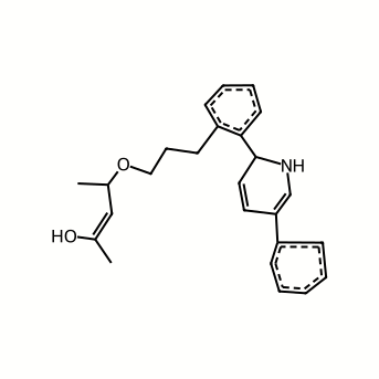 C/C(O)=C/C(C)OCCCc1ccccc1C1C=CC(c2ccccc2)=CN1